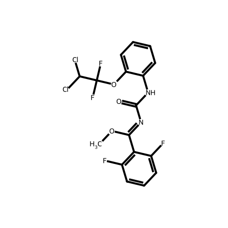 COC(=NC(=O)Nc1ccccc1OC(F)(F)C(Cl)Cl)c1c(F)cccc1F